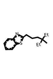 CCC(C)(CC)CCCc1nc2ccccc2s1